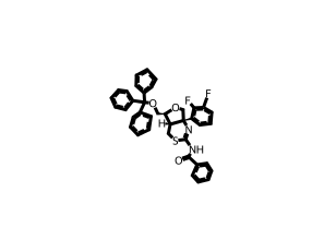 O=C(NC1=N[C@@]2(c3cccc(F)c3F)CO[C@H](COC(c3ccccc3)(c3ccccc3)c3ccccc3)[C@H]2CS1)c1ccccc1